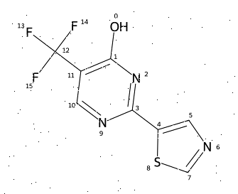 Oc1nc(-c2cncs2)ncc1C(F)(F)F